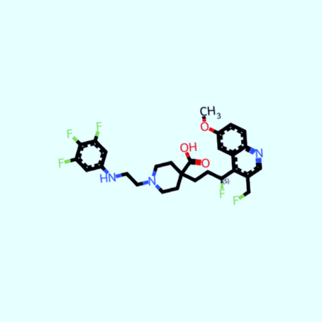 COc1ccc2ncc(CF)c([C@@H](F)CCC3(C(=O)O)CCN(CCNc4cc(F)c(F)c(F)c4)CC3)c2c1